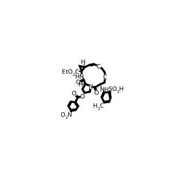 CCOC(=O)[C@@]12C[C@H]1/C=C\CCCCC[C@H](N)C(=O)N1C[C@H](OC(=O)c3ccc([N+](=O)[O-])cc3)C[C@H]1C(=O)N2.Cc1ccc(S(=O)(=O)O)cc1